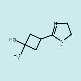 CC1(O)CC(C2=NCCN2)C1